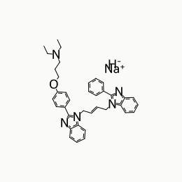 CCN(CC)CCCOc1ccc(-c2nc3ccccc3n2CC=CCn2c(-c3ccccc3)nc3ccccc32)cc1.[H-].[Na+]